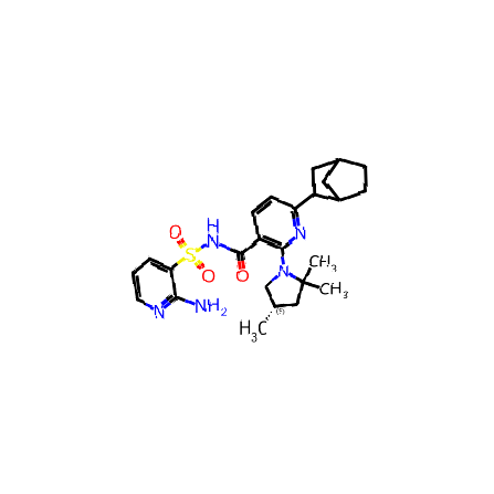 C[C@@H]1CN(c2nc(C3CC4CCC3C4)ccc2C(=O)NS(=O)(=O)c2cccnc2N)C(C)(C)C1